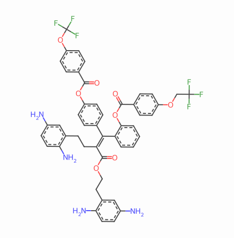 Nc1ccc(N)c(CCOC(=O)/C(CCc2cc(N)ccc2N)=C(/c2ccc(OC(=O)c3ccc(OC(F)(F)F)cc3)cc2)c2ccccc2OC(=O)c2ccc(OCC(F)(F)F)cc2)c1